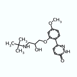 COc1ccc(-c2ccc(=O)[nH]n2)c(OCC(O)CNC(C)(C)C)c1